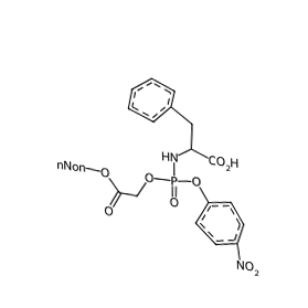 CCCCCCCCCOC(=O)COP(=O)(NC(Cc1ccccc1)C(=O)O)Oc1ccc([N+](=O)[O-])cc1